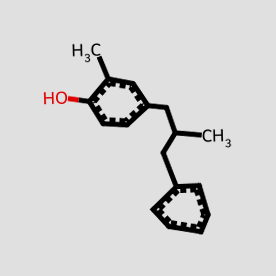 Cc1cc(CC(C)Cc2ccccc2)ccc1O